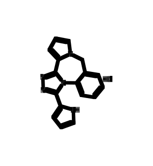 Cl.c1c[nH]c(-c2nnc3n2-c2ccccc2Cn2cccc2-3)c1